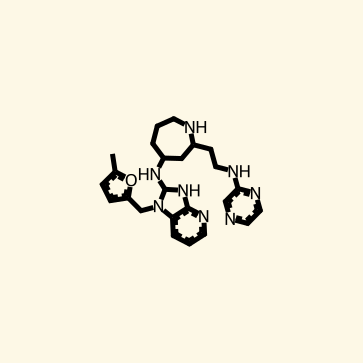 Cc1ccc(CN2c3cccnc3NC2NC2CCCNC(CCNc3cnccn3)C2)o1